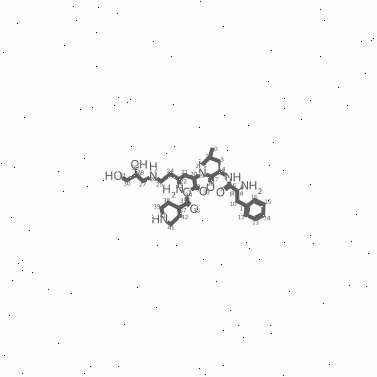 CC(C)C[C@@H](NC(=O)[C@H](N)Cc1ccccc1)C(=O)NC(CC(N)CCNC[C@H](O)CO)C(=O)OC(=O)C1CCNCC1